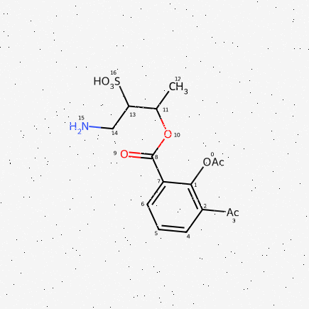 CC(=O)Oc1c(C(C)=O)cccc1C(=O)OC(C)C(CN)S(=O)(=O)O